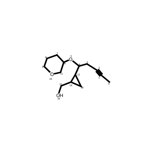 CC#CCC(OC1CCCOC1)C1CC1CO